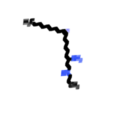 CCCCCCCC/C=C\CCCCCC(N)CCNCCC